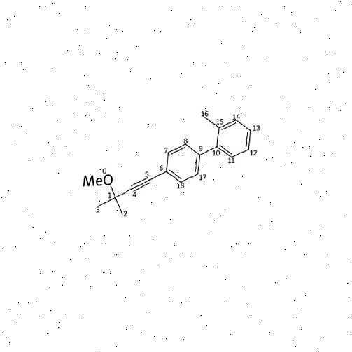 COC(C)(C)C#Cc1ccc(-c2ccccc2C)cc1